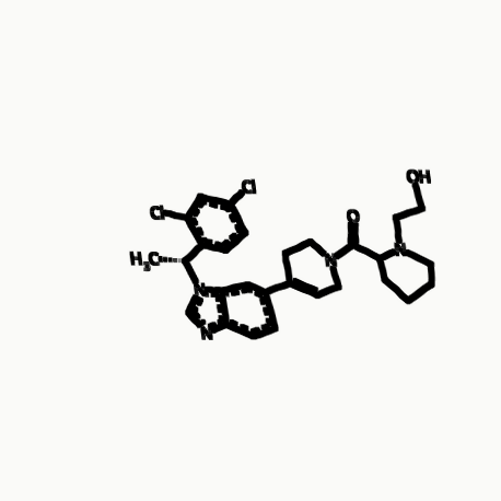 C[C@H](c1ccc(Cl)cc1Cl)n1cnc2ccc(C3=CCN(C(=O)C4CCCCN4CCO)CC3)cc21